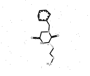 CSCC[C@@H]1NC(=O)CN(Cc2ccccc2)C1=O